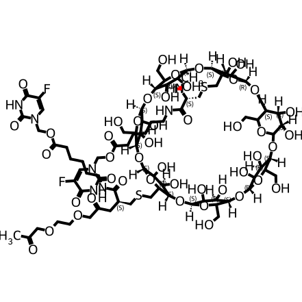 CN[C@H](CSCC1O[C@H]2O[C@@H]3C(CO)OC(O[C@@H]4C(CO)O[C@H](O[C@@H]5C(CO)O[C@@H](O[C@@H]6C(CSC[C@@H](CC(=O)COCCOCC(C)=O)C(=O)NCCCCCC(=O)OCn7cc(F)c(=O)[nH]c7=O)O[C@H](O[C@@H]7C(CO)O[C@@H](O[C@@H]8C(CO)O[C@@H](O[C@H]1[C@H](O)C2O)C(O)[C@H]8O)C(O)[C@H]7O)C(O)[C@H]6O)C(O)[C@H]5O)C(O)[C@H]4O)[C@@H](O)[C@H]3O)C(=O)NCCCCCC(=O)OCn1cc(F)c(=O)[nH]c1=O